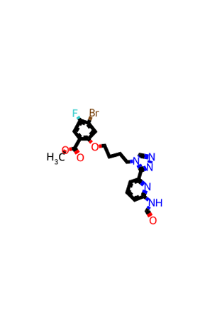 COC(=O)c1cc(F)c(Br)cc1OCCCCn1cnnc1-c1cccc(NC=O)n1